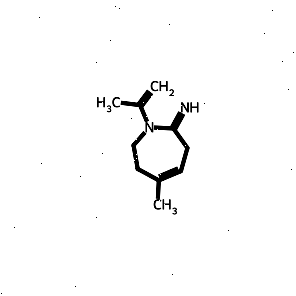 C=C(C)N1CCC(C)=CCC1=N